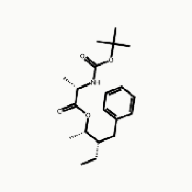 CC[C@@H](Cc1ccccc1)[C@H](C)OC(=O)[C@H](C)NC(=O)OC(C)(C)C